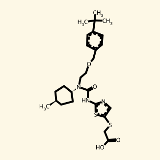 CC(C)(C)c1ccc(COCCN(C(=O)Nc2ncc(SCC(=O)O)s2)[C@H]2CC[C@H](C)CC2)cc1